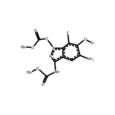 CCOc1c(N)cc2c(NC(=O)OC(C)(C)C)nn(OC(=O)OC(C)(C)C)c2c1F